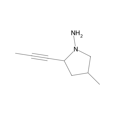 CC#CC1CC(C)CN1N